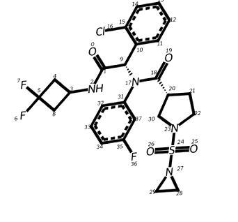 O=C(NC1CC(F)(F)C1)[C@H](c1ccccc1Cl)N(C(=O)[C@@H]1CCN(S(=O)(=O)N2CC2)C1)c1cccc(F)c1